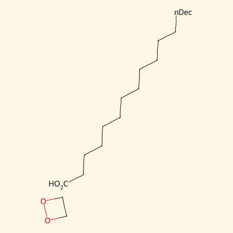 C1COO1.CCCCCCCCCCCCCCCCCCCCCC(=O)O